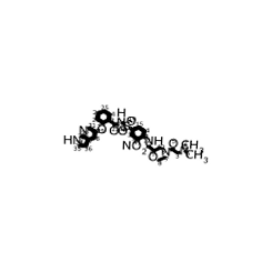 CN(C)CC(=O)N1CCOC(CNc2ccc(S(=O)(=O)NC(=O)c3ccccc3Oc3cnc4[nH]ccc4c3)cc2[N+](=O)[O-])C1